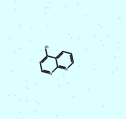 CC(C)c1ccnc2ncccc12